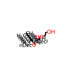 C=C.C=C.C=C.C=C.C=C.C=C.CCCCCCCCCCOCCCCCCCCCC.OCCO